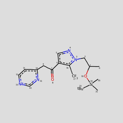 CC(Cn1ncc(C(=O)Cc2ccncn2)c1C(F)(F)F)O[Si](C)(C)C(C)(C)C